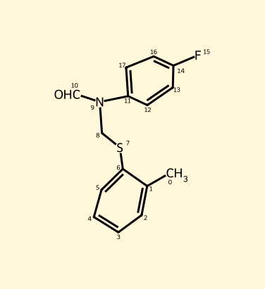 Cc1ccccc1SCN(C=O)c1ccc(F)cc1